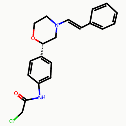 O=C(CCl)Nc1ccc([C@H]2CN(C=Cc3ccccc3)CCO2)cc1